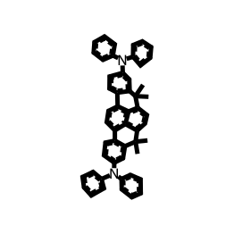 CC1(C)c2cc(N(c3ccccc3)c3ccccc3)ccc2-c2ccc3c4c(ccc1c24)C(C)(C)c1cc(N(c2ccccc2)c2ccccc2)ccc1-3